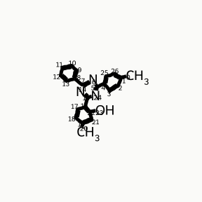 Cc1ccc(-c2nc(-c3ccccc3)nc(-c3ccc(C)cc3O)n2)cc1